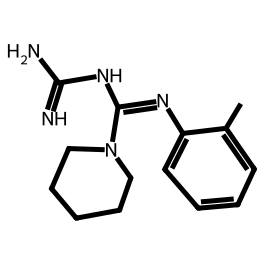 Cc1ccccc1/N=C(/NC(=N)N)N1CCCCC1